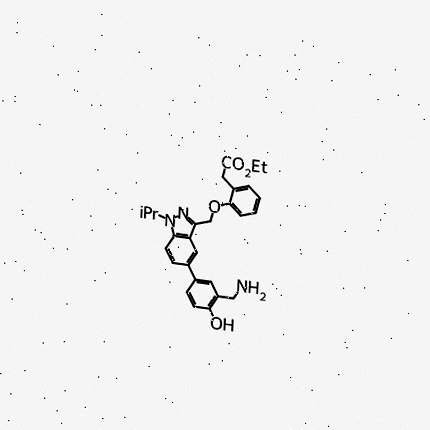 CCOC(=O)Cc1ccccc1OCc1nn(C(C)C)c2ccc(-c3ccc(O)c(CN)c3)cc12